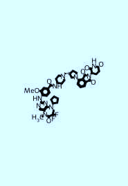 COc1cc(C(=O)NC2CCN(C[C@@H]3CCN(c4cccc5c4C(=O)N(C4CCC(=O)NC4=O)C5=O)C3)CC2)ccc1Nc1ncc2c(n1)N(C1CCCC1)CC(F)(F)C(=O)N2C